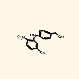 N#Cc1ccc([N+](=O)[O-])c(Nc2ccc(CO)cc2)c1